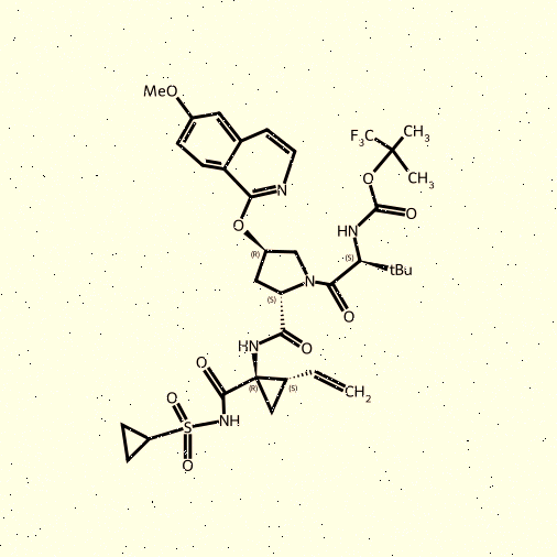 C=C[C@@H]1C[C@]1(NC(=O)[C@@H]1C[C@@H](Oc2nccc3cc(OC)ccc23)CN1C(=O)[C@@H](NC(=O)OC(C)(C)C(F)(F)F)C(C)(C)C)C(=O)NS(=O)(=O)C1CC1